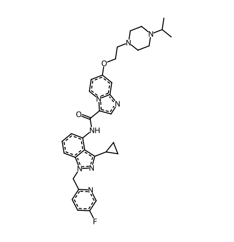 CC(C)N1CCN(CCOc2ccn3c(C(=O)Nc4cccc5c4c(C4CC4)nn5Cc4ccc(F)cn4)cnc3c2)CC1